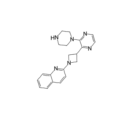 c1ccc2nc(N3CC(c4nccnc4N4CCNCC4)C3)ccc2c1